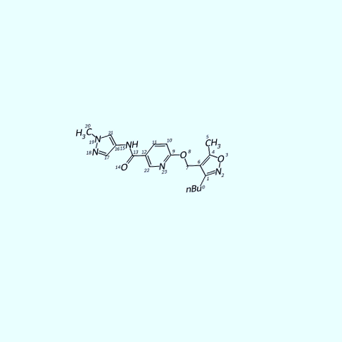 CCCCc1noc(C)c1COc1ccc(C(=O)Nc2cnn(C)c2)cn1